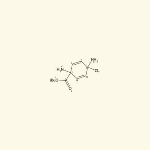 CC(C)COC(=O)C1(N)C=CC(N)(Cl)C=C1